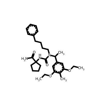 CCOc1cc(C(C)N(CCCCc2ccccc2)C(=O)NC2(C(N)=O)CCCC2)cc(OCC)c1C